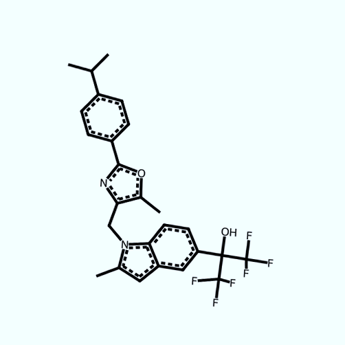 Cc1oc(-c2ccc(C(C)C)cc2)nc1Cn1c(C)cc2cc(C(O)(C(F)(F)F)C(F)(F)F)ccc21